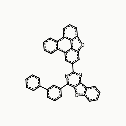 c1ccc(-c2cccc(-c3nc(-c4cc5oc6cccc7c8ccccc8c(c4)c5c67)nc4c3oc3ccccc34)c2)cc1